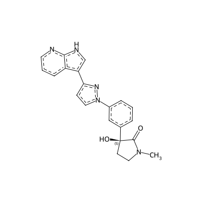 CN1CC[C@](O)(c2cccc(-n3ccc(-c4c[nH]c5ncccc45)n3)c2)C1=O